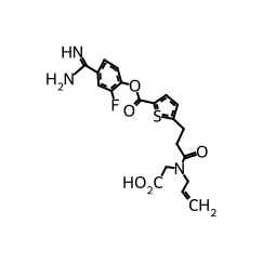 C=CCN(CC(=O)O)C(=O)CCc1ccc(C(=O)Oc2ccc(C(=N)N)cc2F)s1